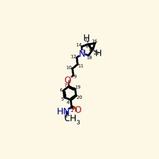 CNC(=O)c1ccc(OCCCCN2C[C@H]3C[C@H]3C2)cc1